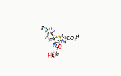 CC(C)N.O=C(O)c1csc(-c2oc(CO)nc2-c2ccc(F)cc2)n1